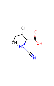 CC[C@H](C)[C@H](NC#N)C(=O)O